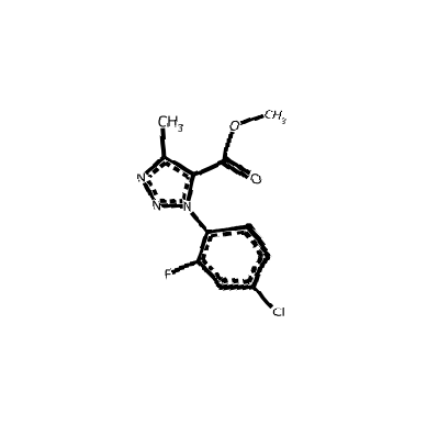 COC(=O)c1c(C)nnn1-c1ccc(Cl)cc1F